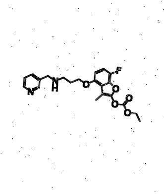 CCOC(=O)Oc1oc2c(F)ccc(OCCCNCc3cccnc3)c2c1C